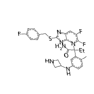 CCC(C(N)=O)(c1cc(NC2CNC2)ccc1C)n1c2nc(SCc3ccc(F)cc3)nc-2cc(F)c1F